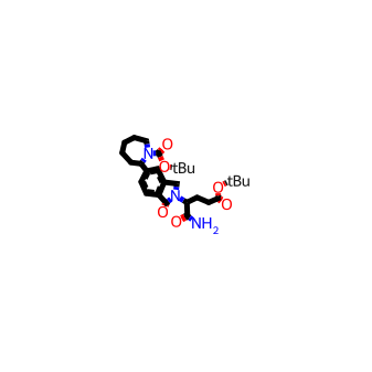 CC(C)(C)OC(=O)CCC(C(N)=O)N1Cc2cc(C3CCCCCN3C(=O)OC(C)(C)C)ccc2C1=O